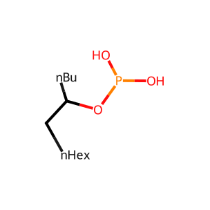 CCCCCCCC(CCCC)OP(O)O